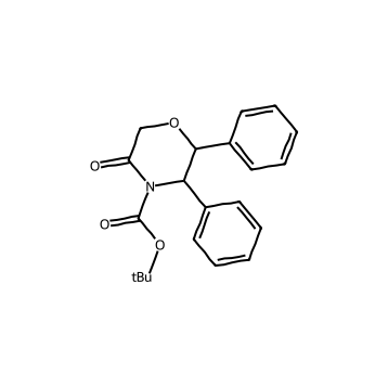 CC(C)(C)OC(=O)N1C(=O)COC(c2ccccc2)C1c1ccccc1